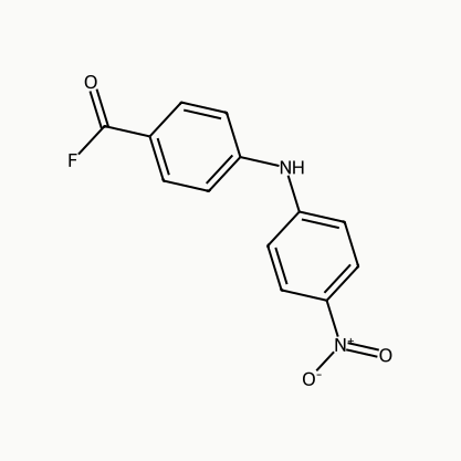 O=C(F)c1ccc(Nc2ccc([N+](=O)[O-])cc2)cc1